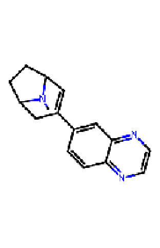 CN1C2C=C(c3ccc4nccnc4c3)CC1CC2